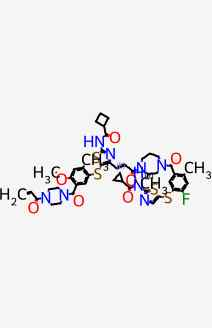 C=CC(=O)N1CCN(C(=O)c2cc(Sc3sc(NC(=O)C4CCC4)nc3/C=C/C(=O)N3CCCN(C(=O)c4cc(Sc5cnc(NC(=O)C6CC6)s5)c(F)cc4C)C[C@H]3C)c(C)cc2OC)CC1